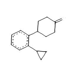 O=C1CCC(c2ccccc2C2CC2)CC1